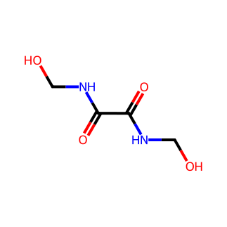 O=C(NCO)C(=O)NCO